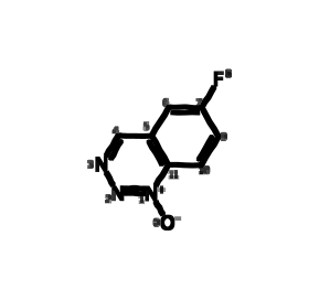 [O-][n+]1nncc2cc(F)ccc21